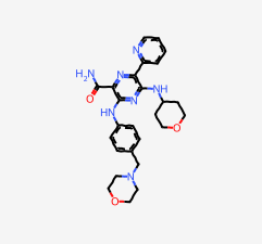 NC(=O)c1nc(-c2ccccn2)c(NC2CCOCC2)nc1Nc1ccc(CN2CCOCC2)cc1